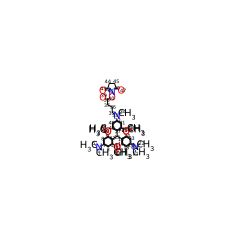 COc1cc(N(C)C)cc(OC)c1C(c1c(OC)cc(N(C)C)cc1OC)c1c(OC)cc(N(C)CCCC(=O)ON2C(=O)CCC2=O)cc1OC